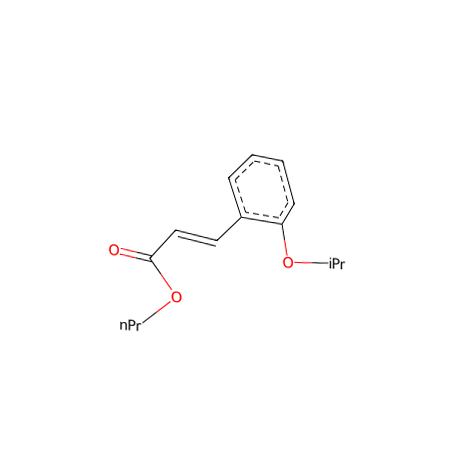 CCCOC(=O)C=Cc1ccccc1OC(C)C